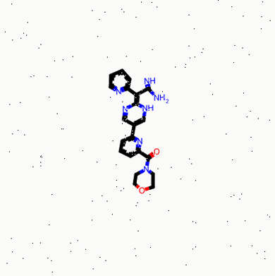 N=C(N)/C(=C1/N=CC(c2cccc(C(=O)N3CCOCC3)n2)=CN1)c1ccccn1